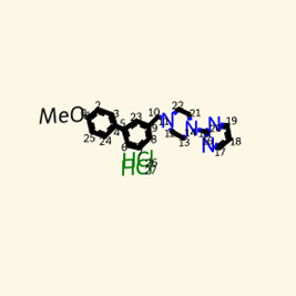 COc1ccc(-c2cccc(CN3CCN(c4ncccn4)CC3)c2)cc1.Cl.Cl